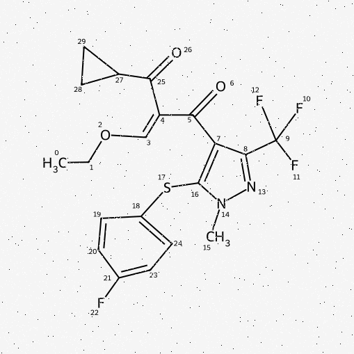 CCOC=C(C(=O)c1c(C(F)(F)F)nn(C)c1Sc1ccc(F)cc1)C(=O)C1CC1